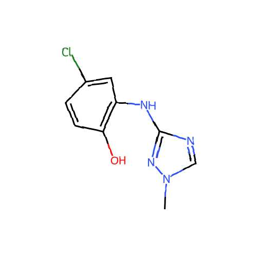 Cn1cnc(Nc2cc(Cl)ccc2O)n1